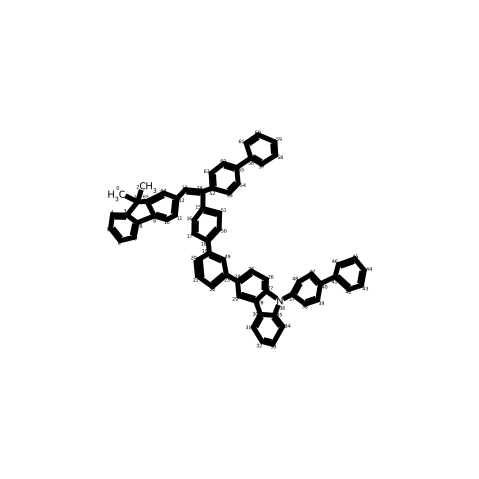 CC1(C)c2ccccc2-c2ccc(/C=C(\c3ccc(-c4c#ccc(-c5ccc6c(c5)c5ccccc5n6-c5ccc(-c6ccccc6)cc5)c4)cc3)c3ccc(-c4ccccc4)cc3)cc21